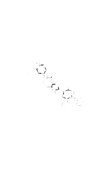 O=C1c2sc(-c3cc(P)c(N4CCCC4)nc3F)nc2CCN1c1ccnc(P)c1